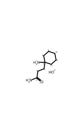 Cl.NC(=O)CCC1(N)CCCCC1